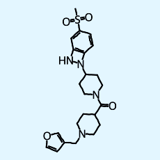 CS(=O)(=O)c1ccc2c(c1)[nH]n2C1CCN(C(=O)C2CCN(Cc3ccoc3)CC2)CC1